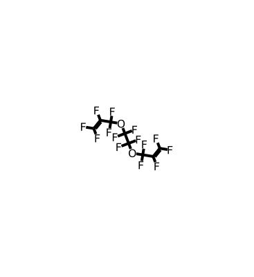 FC(F)=C(F)C(F)(F)OC(F)(F)C(F)(F)OC(F)(F)C(F)=C(F)F